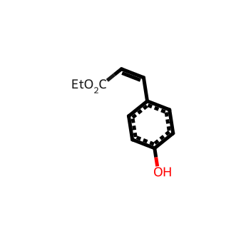 CCOC(=O)/C=C\c1ccc(O)cc1